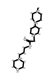 CN1CCN(C2CCN(CC(=O)OCCCN3CCOCC3)CC2)CC1